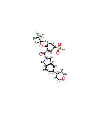 CC(C)(Oc1ccc(S(C)(=O)=O)cc1C(=O)N1Cc2ccc(C3CCOCC3)cc2C1)C(F)(F)F